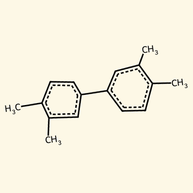 Cc1ccc(-c2ccc(C)c(C)c2)cc1C